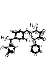 CC(c1cc(F)c(CN2S[C@H](c3ccccc3)C(=O)C(=O)[C@@H]2C)cc1F)n1cnc(=O)n1C